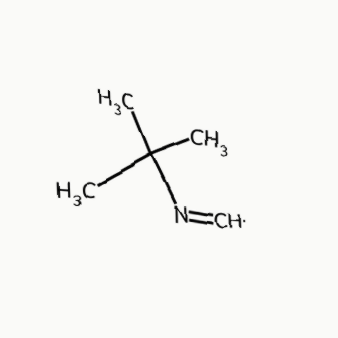 [CH]=NC(C)(C)C